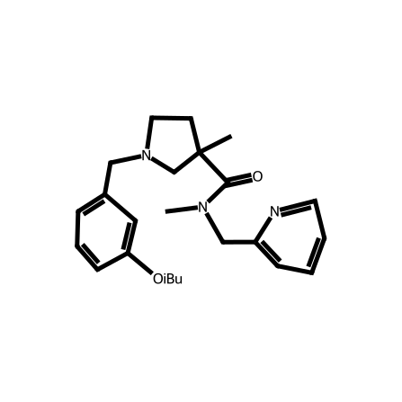 CC(C)COc1cccc(CN2CCC(C)(C(=O)N(C)Cc3ccccn3)C2)c1